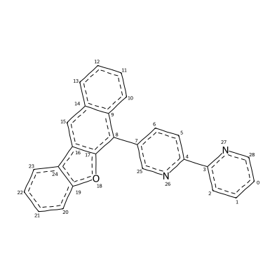 c1ccc(-c2ccc(-c3c4ccccc4cc4c3oc3ccccc34)cn2)nc1